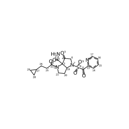 NC(=O)C12C(=O)CN(S(=O)(=O)C(=O)c3ccccn3)C1CCN2C(=O)[CH]CC1CC1